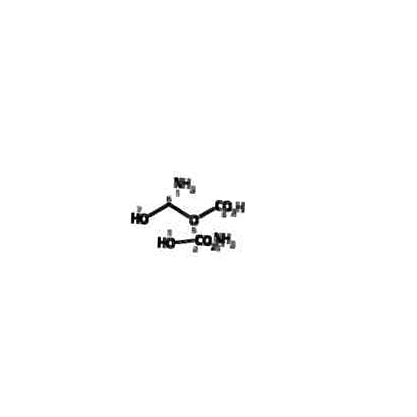 N.N.O=C(O)O.O=C(O)OCO